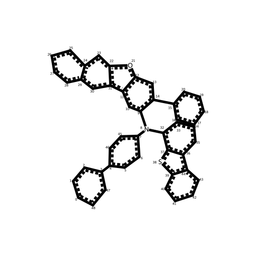 c1ccc(-c2ccc(N(c3cc4c(cc3-c3ccccc3)oc3cc5ccccc5cc34)c3cccc4c3sc3ccccc34)cc2)cc1